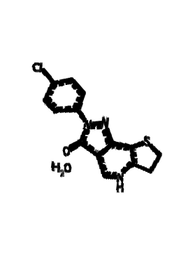 O.O=c1c2c[nH]c3c(c-2nn1-c1ccc(Cl)cc1)SCC3